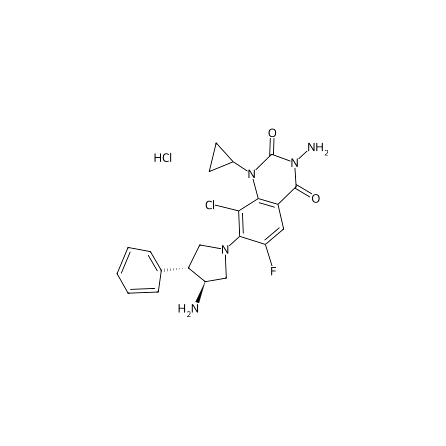 Cl.N[C@@H]1CN(c2c(F)cc3c(=O)n(N)c(=O)n(C4CC4)c3c2Cl)C[C@H]1c1ccccc1